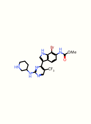 COC(=O)Nc1ccc2c(-c3nc(NC4CCCNC4)ncc3C(F)(F)F)c[nH]c2c1Br